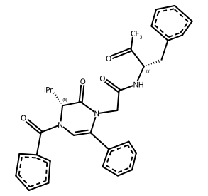 CC(C)[C@@H]1C(=O)N(CC(=O)N[C@@H](Cc2ccccc2)C(=O)C(F)(F)F)C(c2ccccc2)=CN1C(=O)c1ccccc1